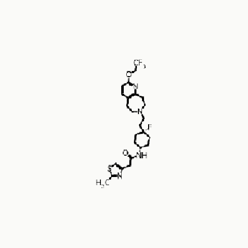 Cc1nc(CC(=O)N[C@H]2CC[C@](F)(CCN3CCc4ccc(OCC(F)(F)F)nc4CC3)CC2)cs1